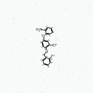 Cl.Nc1ccccc1Oc1ccc(OCc2ccccc2F)cc1